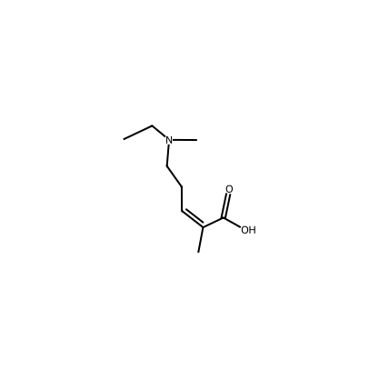 CCN(C)CCC=C(C)C(=O)O